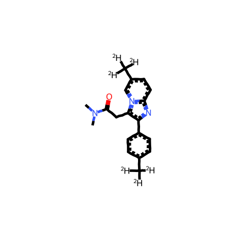 [2H]C([2H])([2H])c1ccc(-c2nc3ccc(C([2H])([2H])[2H])cn3c2CC(=O)N(C)C)cc1